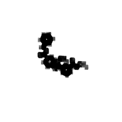 COC(=O)c1cccc(-c2nc3c(n2C)CN(C(=O)OCc2ccccc2)CC3)c1